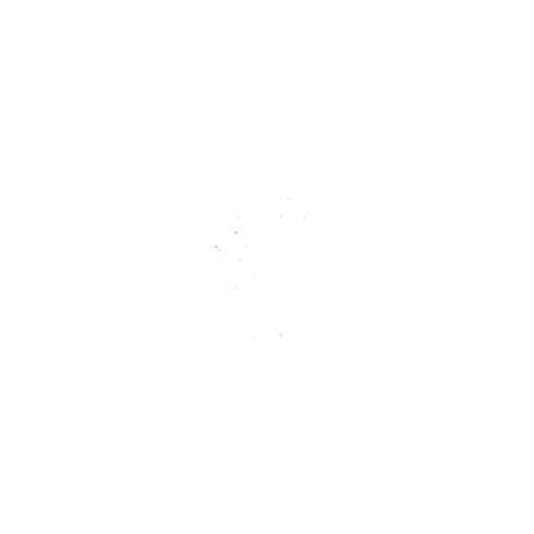 Cc1cccc(S(=O)(=O)N2CCCc3ncc(NC(=O)OCc4ccccc4)cc32)c1